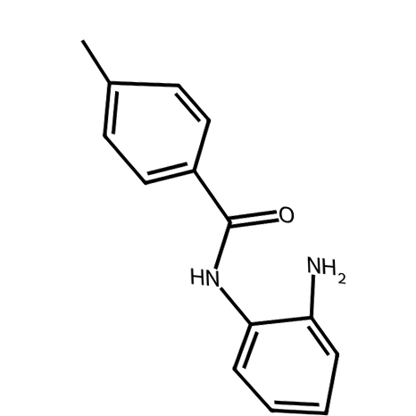 Cc1ccc(C(=O)Nc2ccccc2N)cc1